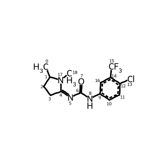 CC1CCC(=NC(=O)Nc2ccc(Cl)c(C(F)(F)F)c2)N1C